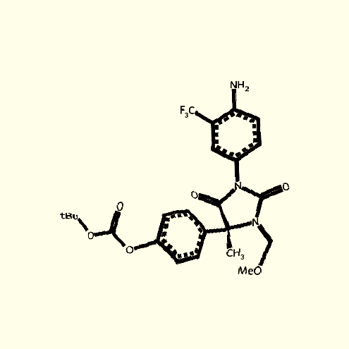 COCN1C(=O)N(c2ccc(N)c(C(F)(F)F)c2)C(=O)[C@@]1(C)c1ccc(OC(=O)OC(C)(C)C)cc1